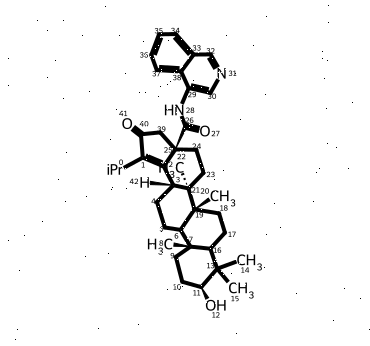 CC(C)C1=C2[C@H]3CCC4[C@@]5(C)CC[C@H](O)C(C)(C)C5CC[C@@]4(C)[C@]3(C)CC[C@@]2(C(=O)Nc2cncc3ccccc23)CC1=O